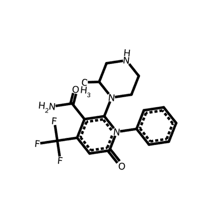 CC1CNCCN1c1c(C(N)=O)c(C(F)(F)F)cc(=O)n1-c1ccccc1